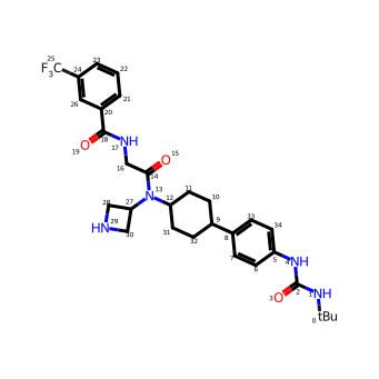 CC(C)(C)NC(=O)Nc1ccc(C2CCC(N(C(=O)CNC(=O)c3cccc(C(F)(F)F)c3)C3CNC3)CC2)cc1